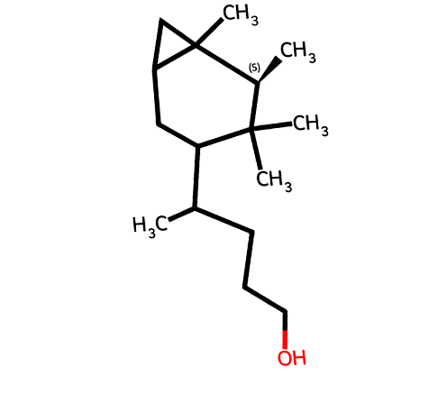 CC(CCCO)C1CC2CC2(C)[C@@H](C)C1(C)C